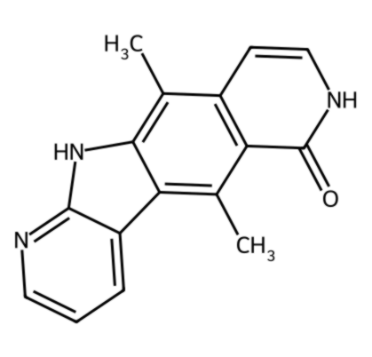 Cc1c2cc[nH]c(=O)c2c(C)c2c1[nH]c1ncccc12